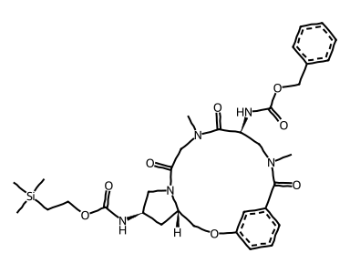 CN1C[C@H](NC(=O)OCc2ccccc2)C(=O)N(C)CC(=O)N2C[C@H](NC(=O)OCC[Si](C)(C)C)C[C@H]2COc2cccc(c2)C1=O